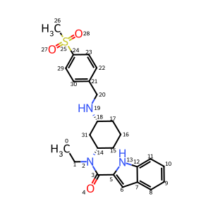 CCN(C(=O)c1cc2ccccc2[nH]1)[C@H]1CCC[C@@H](NCc2ccc(S(C)(=O)=O)cc2)C1